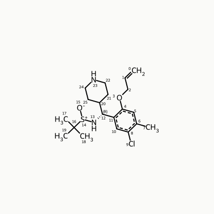 C=CCOc1cc(C)c(Cl)cc1[C@H](N[S+]([O-])C(C)(C)C)C1CCNCC1